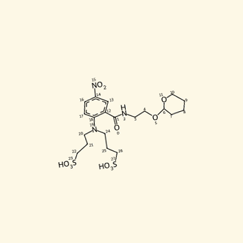 O=C(NCCOC1CCCCO1)c1cc([N+](=O)[O-])ccc1N(CCCS(=O)(=O)O)CCCS(=O)(=O)O